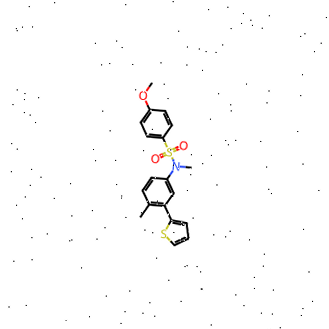 COc1ccc(S(=O)(=O)N(C)c2ccc(C)c(-c3cccs3)c2)cc1